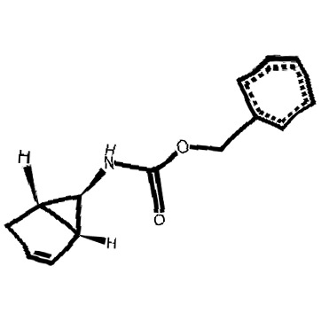 O=C(N[C@H]1[C@@H]2C=CC[C@@H]21)OCc1ccccc1